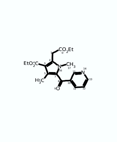 CCOC(=O)Cc1c(C(=O)OCC)c(C)c(C(=O)c2cccnc2)n1C